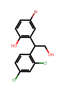 OCC(c1cc(Br)ccc1O)c1ccc(Cl)cc1Cl